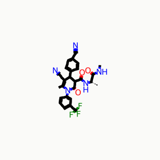 CNC(=O)[C@H](C)NC(=O)C1C(=O)N(c2cccc(C(F)(F)F)c2)C(C)=C(C#N)C1c1ccc(C#N)cc1